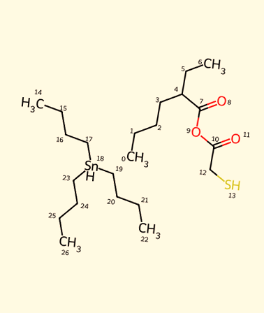 CCCCC(CC)C(=O)OC(=O)CS.CCC[CH2][SnH]([CH2]CCC)[CH2]CCC